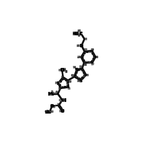 Cc1sc(C(=N)NC(=O)OC(C)(C)C)cc1-c1nc(-c2cccc(OCC(=O)O)c2)cs1